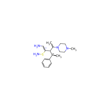 C=C(C(/C(=C/N)SN)[C@@H](C)c1ccccc1)N1CCN(C)CC1